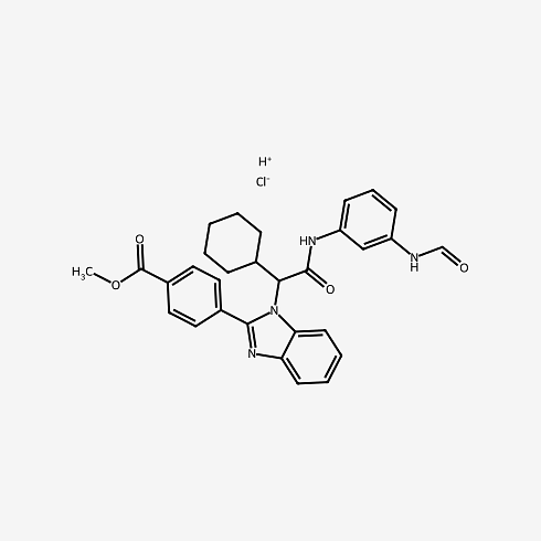 COC(=O)c1ccc(-c2nc3ccccc3n2C(C(=O)Nc2cccc(NC=O)c2)C2CCCCC2)cc1.[Cl-].[H+]